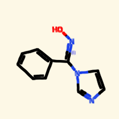 O/N=C(\c1ccccc1)n1ccnc1